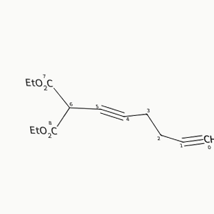 C#CCCC#CC(C(=O)OCC)C(=O)OCC